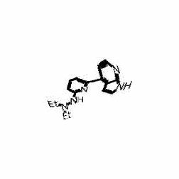 CCN(CC)Nc1cccc(-c2ccnc3[nH]ccc23)n1